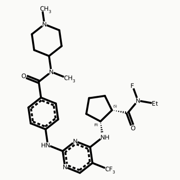 CCN(F)C(=O)[C@H]1CCC[C@H]1Nc1nc(Nc2ccc(C(=O)N(C)C3CCN(C)CC3)cc2)ncc1C(F)(F)F